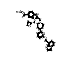 CC(C)(C)OC(=O)c1ccc2nc(CN3CCC(c4cccc(OCc5cccn6ccnc56)n4)CC3)n(C[C@@H]3CCO3)c2c1